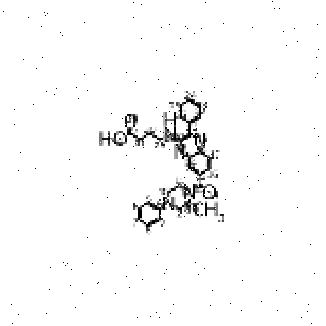 C[C@@H]1CN(c2ccccc2)CCN1C(=O)c1ccc2nc(-c3ccccc3)c(NCCCC(=O)O)nc2c1